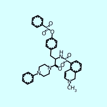 CN1C=Cc2c(cccc2S(=O)(=O)NC(Cc2ccc(OS(=O)(=O)c3ccccc3)cc2)C(=O)N2CCN(c3ccccc3)CC2)C1